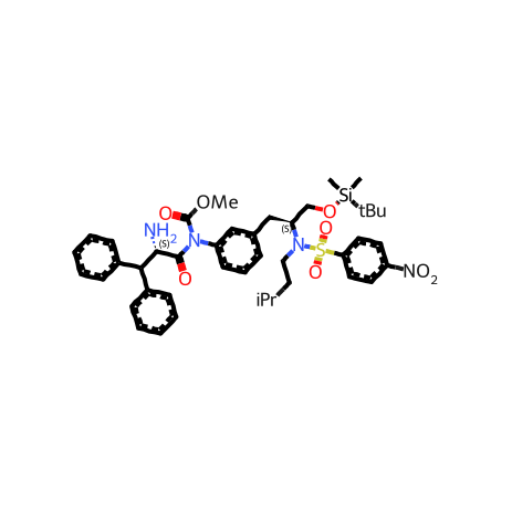 COC(=O)N(C(=O)[C@@H](N)C(c1ccccc1)c1ccccc1)c1cccc(C[C@@H](CO[Si](C)(C)C(C)(C)C)N(CCC(C)C)S(=O)(=O)c2ccc([N+](=O)[O-])cc2)c1